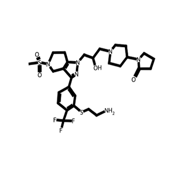 CS(=O)(=O)N1CCc2c(c(-c3ccc(C(F)(F)F)c(SCCN)c3)nn2CC(O)CN2CCC(N3CCCC3=O)CC2)C1